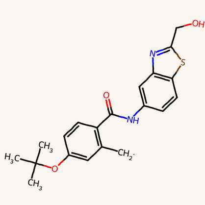 [CH2]c1cc(OC(C)(C)C)ccc1C(=O)Nc1ccc2sc(CO)nc2c1